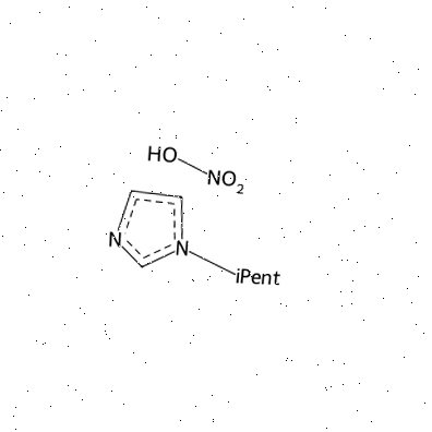 CCCC(C)n1ccnc1.O=[N+]([O-])O